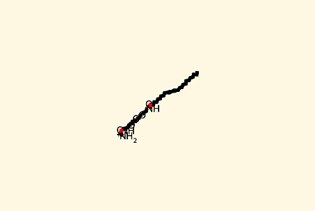 CCCCCCCCCCCCC#CC#CCCCCCCCCC(=O)NCCCOCCOCCOCCCNC(=O)[C@H](C)N